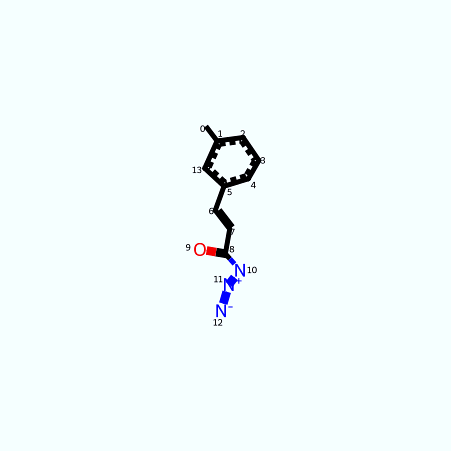 Cc1cccc(/C=C/C(=O)N=[N+]=[N-])c1